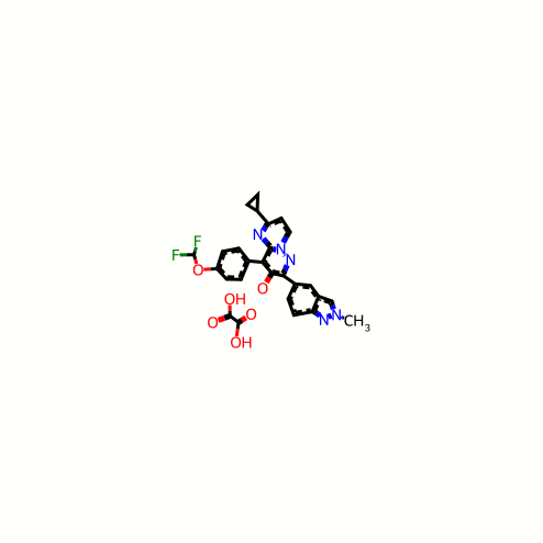 Cn1cc2cc(-c3nn4ccc(C5CC5)nc4c(-c4ccc(OC(F)F)cc4)c3=O)ccc2n1.O=C(O)C(=O)O